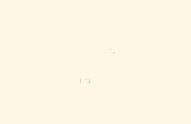 CC1NCCCNC1C